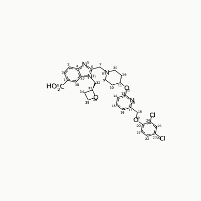 O=C(O)c1ccc2nc(CN3CCC(Oc4cccc(COc5ccc(Cl)cc5Cl)n4)CC3)n(C[C@@H]3CCO3)c2c1